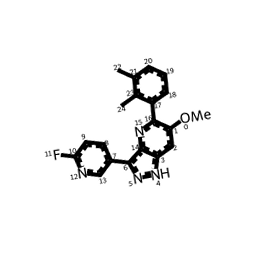 COc1cc2[nH]nc(-c3ccc(F)nc3)c2nc1-c1cccc(C)c1C